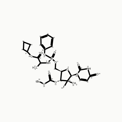 CC(N[P@@](=O)(OC[C@H]1O[C@@H](n2ccc(=O)[nH]c2=O)[C@](C)(F)[C@@H]1OC(=O)OC(C)(C)C)Oc1ccccc1)C(=O)OC1CCC1